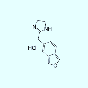 Cl.c1cc2cocc2cc1CC1=NCCN1